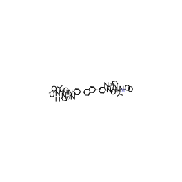 COO/C=N/[C@H](C(=O)N1CCC[C@H]1c1nc2cc(-c3ccc4cc(-c5ccc6[nH]c([C@@H]7CCCN7C(=O)[C@@H](NC(=O)OC)C(C)C)nc6c5)ccc4c3)ccc2[nH]1)C(C)C